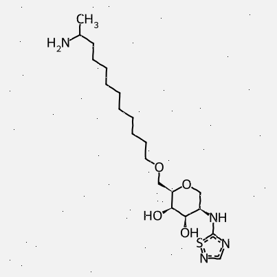 CC(N)CCCCCCCCCCOC[C@H]1OC[C@@H](Nc2ncns2)[C@@H](O)[C@H]1O